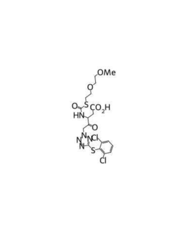 COCCOCCSC(=O)NC(CC(=O)O)C(=O)Cn1nnc(Sc2c(Cl)cccc2Cl)n1